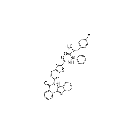 CN(Cc1ccc(F)cc1)C(=O)[C@@H](NC(=O)c1nc2ccc(NC(=O)c3ccccc3-c3nc4ccccc4[nH]3)cc2s1)c1ccccc1